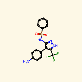 Nc1ccc(-c2c(NS(=O)(=O)c3ccccc3)n[nH]c2C(F)(F)F)cc1